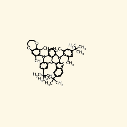 Cc1cc(C(C)(C)C)cc(C)c1N1c2cccc3c2B(c2cc(C(C)(C)C)ccc2N3c2c(C)cc3c(c2C)OCCCO3)c2c1sc1ccc(C(C)(C)C)cc21